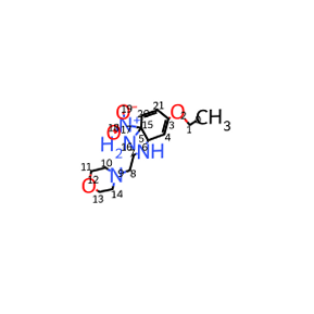 CCOC1=CC(NCCN2CCOCC2)C(N)([N+](=O)[O-])C=C1